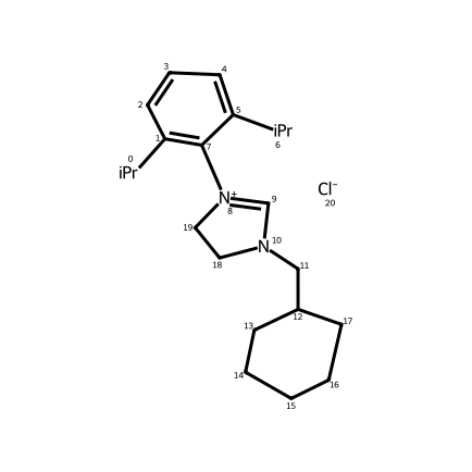 CC(C)c1cccc(C(C)C)c1[N+]1=CN(CC2CCCCC2)CC1.[Cl-]